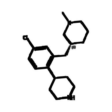 CN1CCC[C@H](Cc2cc(Cl)ccc2C2CCNCC2)C1